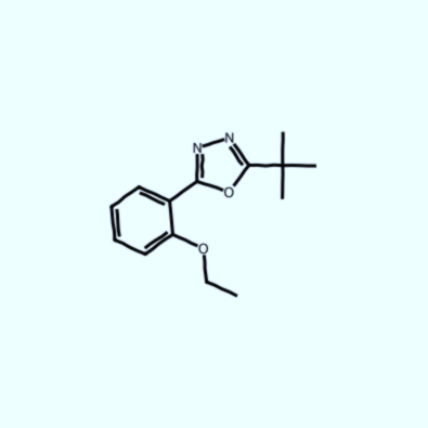 CCOc1ccccc1-c1nnc(C(C)(C)C)o1